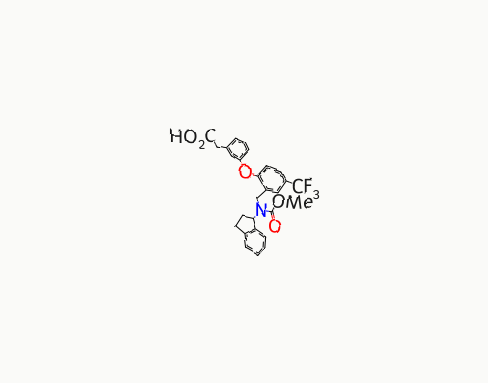 COC(=O)N(Cc1cc(C(F)(F)F)ccc1Oc1cccc(CC(=O)O)c1)[C@H]1CCc2ccccc21